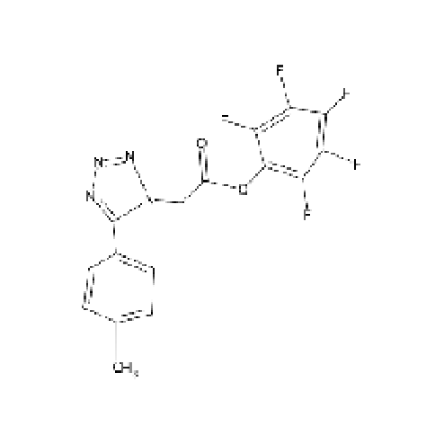 Cc1ccc(-c2nnnn2CC(=O)Oc2c(F)c(F)c(F)c(F)c2F)cc1